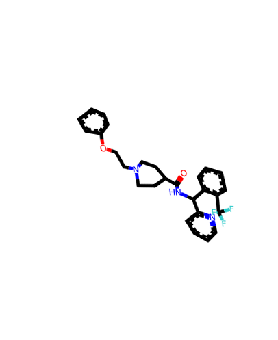 O=C(NC(c1ccccn1)c1ccccc1C(F)(F)F)C1CCN(CCOc2ccccc2)CC1